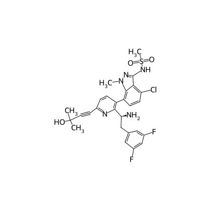 Cn1nc(NS(C)(=O)=O)c2c(Cl)ccc(-c3ccc(C#CC(C)(C)O)nc3[C@@H](N)Cc3cc(F)cc(F)c3)c21